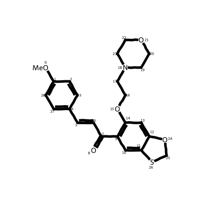 COc1ccc(C=CC(=O)c2cc3c(cc2OCCN2CCOCC2)OCS3)cc1